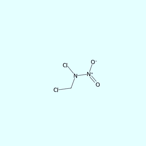 O=[N+]([O-])N(Cl)CCl